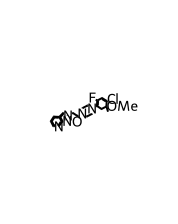 COC1(C)CC(N2CCN(C(=O)Cn3cc4cccnc4n3)CC2)=C(F)C=C1Cl